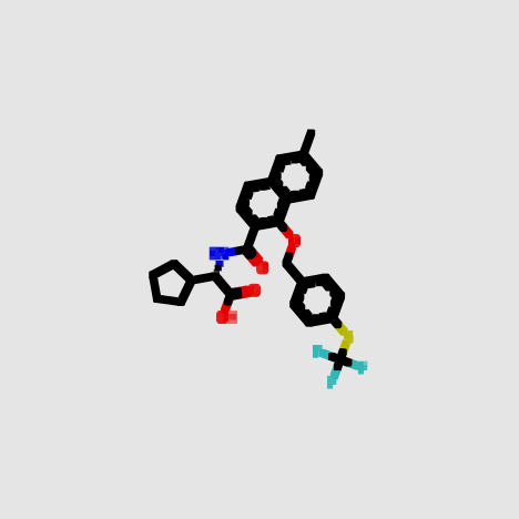 Cc1ccc2c(OCc3ccc(SC(F)(F)F)cc3)c(C(=O)N[C@H](C(=O)O)C3CCCC3)ccc2c1